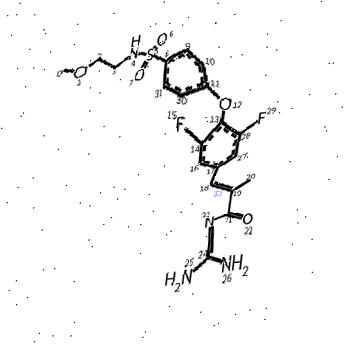 COCCNS(=O)(=O)c1ccc(Oc2c(F)cc(/C=C(\C)C(=O)N=C(N)N)cc2F)cc1